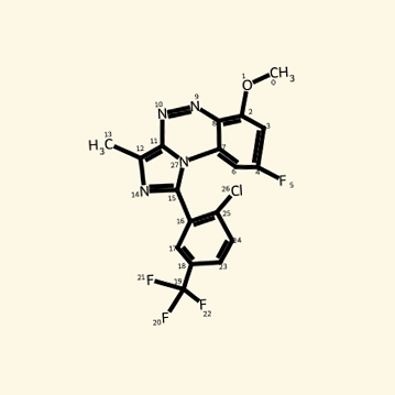 COc1cc(F)cc2c1nnc1c(C)nc(-c3cc(C(F)(F)F)ccc3Cl)n12